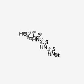 CCNC(=S)CCNC(=S)CCNC(=S)c1ccc(O)cc1